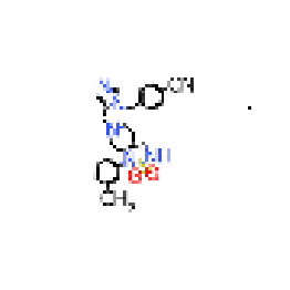 Cc1cccc(N2C3(CCN(Cc4cncn4Cc4ccc(C#N)cc4)CC3)CNS2(=O)=O)c1